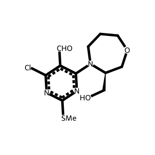 CSc1nc(Cl)c(C=O)c(N2CCCOC[C@H]2CO)n1